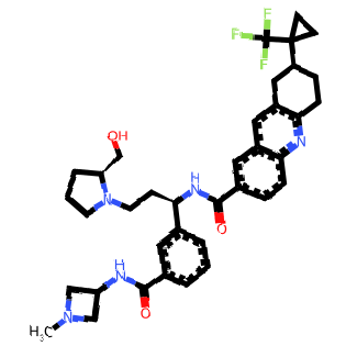 CN1CC(NC(=O)c2cccc([C@@H](CCN3CCC[C@H]3CO)NC(=O)c3ccc4nc5c(cc4c3)CC(C3(C(F)(F)F)CC3)CC5)c2)C1